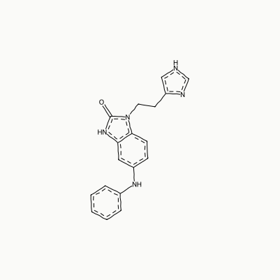 O=c1[nH]c2cc(Nc3ccccc3)ccc2n1CCc1c[nH]cn1